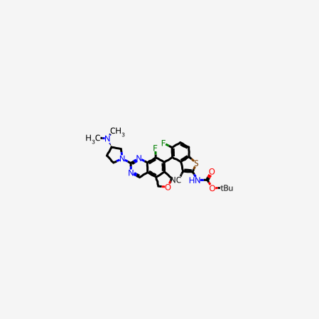 CN(C)[C@H]1CCN(c2ncc3c4c(c(-c5c(F)ccc6sc(NC(=O)OC(C)(C)C)c(C#N)c56)c(F)c3n2)COC4)C1